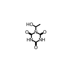 CC(O)n1c(=O)[nH]c(=O)[nH]c1=O